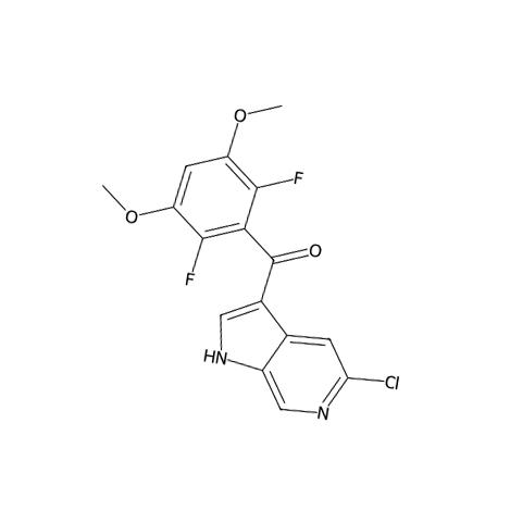 COc1cc(OC)c(F)c(C(=O)c2c[nH]c3cnc(Cl)cc23)c1F